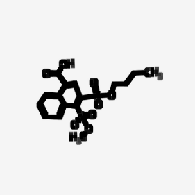 CCCCOS(=O)(=O)c1cc(C(=O)O)c2ccccc2c1S(=O)(=O)OC